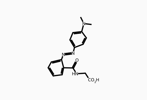 CN(C)c1ccc(N=Nc2ccccc2C(=O)NCC(=O)O)cc1